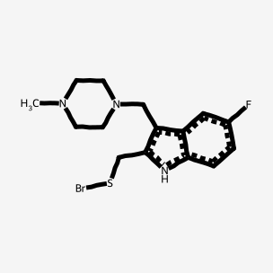 CN1CCN(Cc2c(CSBr)[nH]c3ccc(F)cc23)CC1